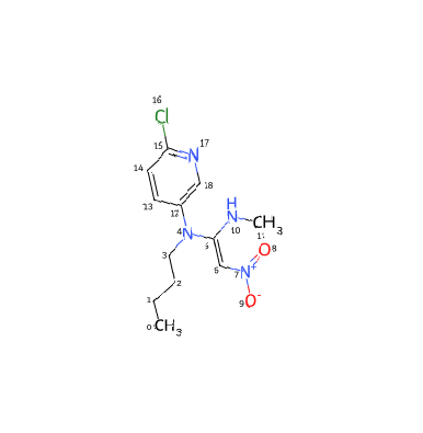 CCCCN(C(=C[N+](=O)[O-])NC)c1ccc(Cl)nc1